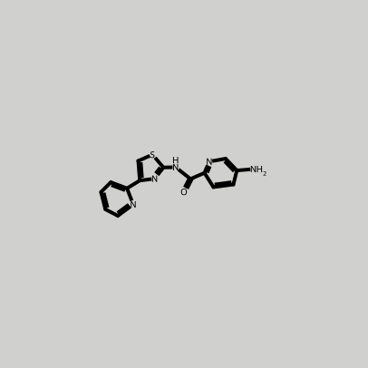 Nc1ccc(C(=O)Nc2nc(-c3ccccn3)cs2)nc1